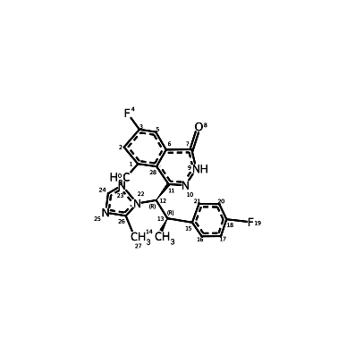 Cc1cc(F)cc2c(=O)[nH]nc([C@@H]([C@H](C)c3ccc(F)cc3)n3ncnc3C)c12